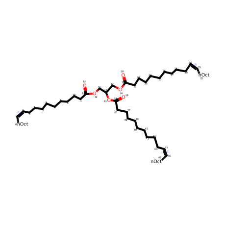 CCCCCCCC/C=C\CCCCCCCCCC(=O)OCC(COC(=O)CCCCCCCCC/C=C\CCCCCCCC)OC(=O)CCCCCCCCC/C=C\CCCCCCCC